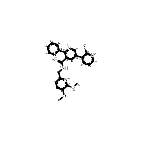 COc1ccc(CNC(=O)c2cc(-c3cccnc3Cl)cnc2-c2ccccn2)nc1OC